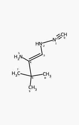 C#[N+]N/C=C(\N)C(C)(C)C